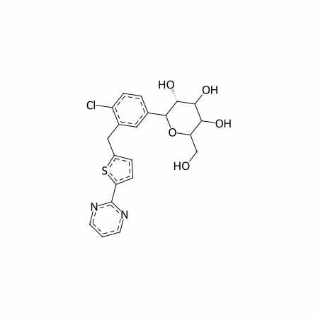 OCC1OC(c2ccc(Cl)c(Cc3ccc(-c4ncccn4)s3)c2)[C@H](O)C(O)C1O